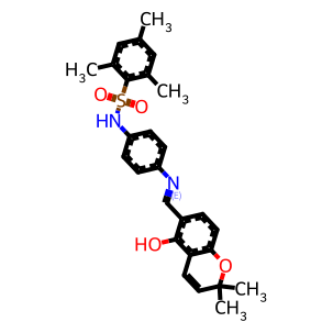 Cc1cc(C)c(S(=O)(=O)Nc2ccc(/N=C/c3ccc4c(c3O)C=CC(C)(C)O4)cc2)c(C)c1